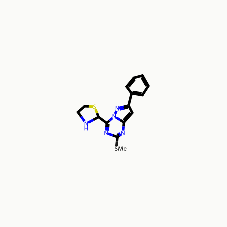 CSc1nc(C2NCCS2)n2nc(-c3ccccc3)cc2n1